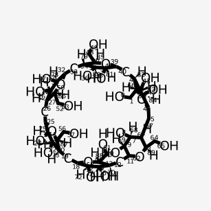 OC[C@H]1OC2C[C@H]3[C@H](O)[C@@H](O)C(C[C@H]4[C@H](O)[C@@H](O)C(C[C@H]5[C@H](O)[C@@H](O)C(C[C@H]6[C@H](O)[C@@H](O)C(C[C@H]7[C@H](O)[C@@H](O)C(C[C@H]1[C@H](O)[C@H]2O)O[C@@H]7CO)O[C@@H]6CO)O[C@@H]5CO)O[C@@H]4CO)O[C@@H]3CO